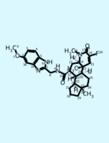 COc1ccc2[nH]c(CNC(=O)[C@H]3C[C@H]4N(C)C(=O)C(F)=C[C@]4(C)[C@H]4CC[C@]5(C)CCC[C@H]5[C@H]34)nc2c1